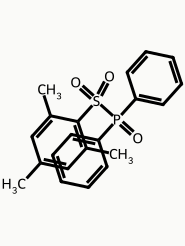 Cc1cc(C)c(S(=O)(=O)P(=O)(c2ccccc2)c2ccccc2)c(C)c1